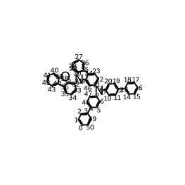 c1ccc(-c2ccc(N(c3ccc(-c4ccccc4)cc3)c3ccc4c5ccccc5n(-c5cccc6c5oc5ccccc56)c4c3)cc2)cc1